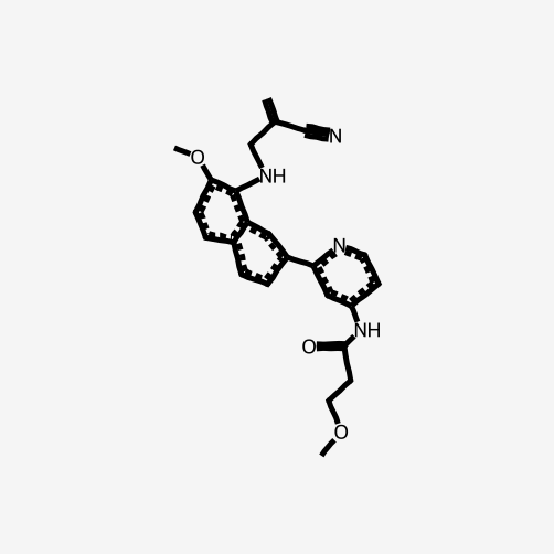 C=C(C#N)CNc1c(OC)ccc2ccc(-c3cc(NC(=O)CCOC)ccn3)cc12